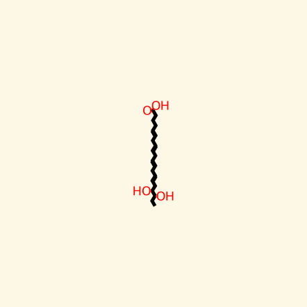 CCC(O)C(O)CC=CCC=CCC=CCC=CCCCC(=O)O